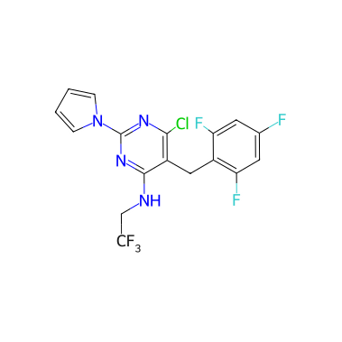 Fc1cc(F)c(Cc2c(Cl)nc(-n3cccc3)nc2NCC(F)(F)F)c(F)c1